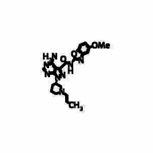 CC=CN1CCC[C@@H](n2nc(C(=O)Nc3nc4cc(OC)ccc4o3)c3c(N)ncnc32)C1